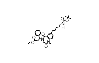 CCOC(=O)CC(c1ccccc1)N1CC(=O)N(C)c2ccc(C=CCCCNC(=O)OC(C)(C)C)cc2C1=O